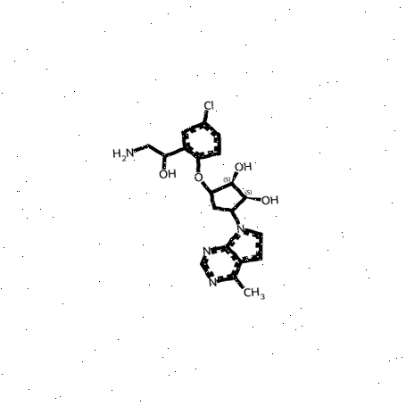 Cc1ncnc2c1ccn2C1CC(Oc2ccc(Cl)cc2C(O)CN)[C@@H](O)[C@H]1O